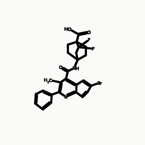 Cc1c(-c2ccccc2)nc2ccc(Br)cc2c1C(=O)NC12CCC(C(=O)O)(CC1)C(F)(F)C2